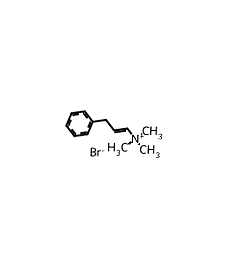 C[N+](C)(C)C=CCc1ccccc1.[Br-]